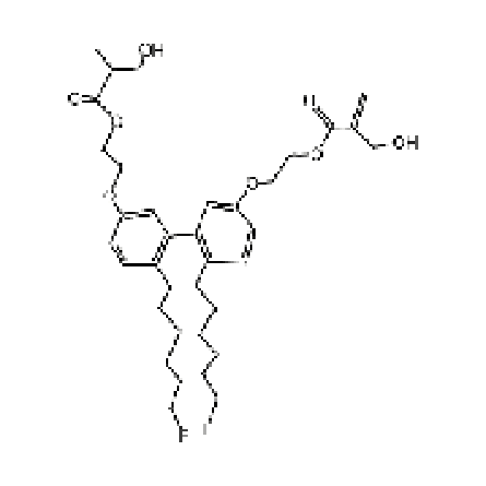 C=C(CO)C(=O)OCCOc1ccc(CCCCCCF)c(-c2cc(OCCOC(=O)C(C)CO)ccc2CCCCCCF)c1